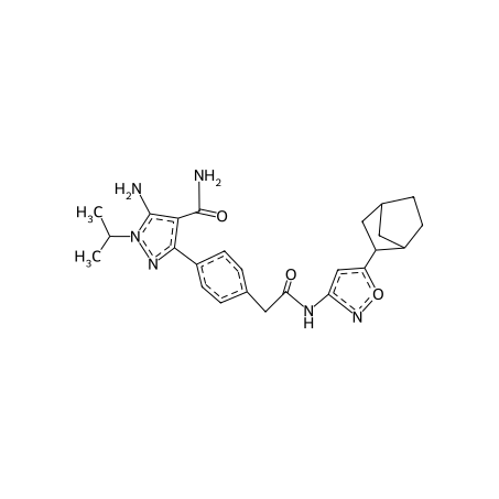 CC(C)n1nc(-c2ccc(CC(=O)Nc3cc(C4CC5CCC4C5)on3)cc2)c(C(N)=O)c1N